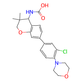 CC1(C)COc2cc(-c3ccc(N4CCOCC4)c(Cl)c3)ccc2C1NC(=O)O